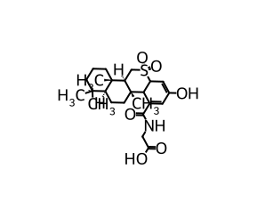 CC1(C)CCC[C@]2(C)[C@H]3CS(=O)(=O)C4C=C(O)C=C(C(=O)NCC(=O)O)C4[C@]3(C)CC[C@@H]12